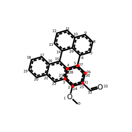 COc1ccc(-c2cccc3cccc(-c4c5ccccc5cc5ccccc45)c23)cc1C=O